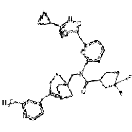 Cc1cc(C2=C3CC(CN(C(=O)C4CCC(F)(F)C4)c4cccc(-c5nc(C6CC6)no5)c4)(CC2)C3)ccn1